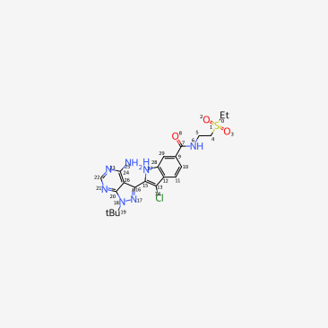 CCS(=O)(=O)CCNC(=O)c1ccc2c(Cl)c(-c3nn(C(C)(C)C)c4ncnc(N)c34)[nH]c2c1